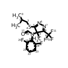 CC(C)CSC1=NN=C(C(F)(F)F)C1(C)N(C=O)c1c(F)cccc1F